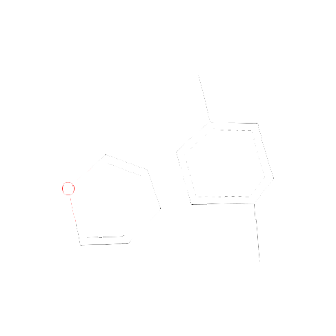 C1=COC=CC1.Cc1ccc(C)cc1